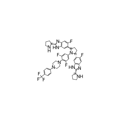 Fc1cc2nc([C@@H]3CCCN3)[nH]c2cc1[C@H]1CC[C@H](c2cc3[nH]c([C@@H]4CCCN4)nc3cc2F)N1c1cc(F)c(N2CCN(c3ccc(C(F)(F)F)cc3)CC2)c(F)c1